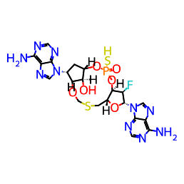 Nc1ncnc2c1ncn2[C@@H]1C[C@@H]2OP(=O)(S)O[C@H]3[C@@H](F)[C@H](n4cnc5c(N)ncnc54)O[C@@H]3CSCO[C@@H]1[C@@H]2O